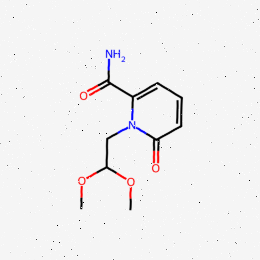 COC(Cn1c(C(N)=O)cccc1=O)OC